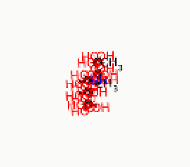 CC(=O)N[C@H]1[C@H](O[C@H]2[C@@H](O)[C@@H](CO)O[C@@H](O[C@H]3[C@H](O)[C@@H](O)C(O)O[C@@H]3CO)[C@@H]2O)O[C@H](CO)[C@@H](O)[C@@H]1O[C@@H]1O[C@H](CO)[C@H](O)[C@H](O)[C@H]1O[C@@H]1O[C@@H](C)[C@@H](O)[C@@H](O)[C@@H]1O